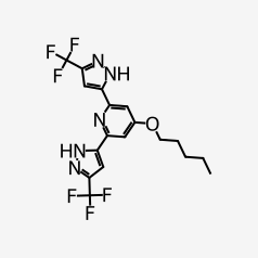 CCCCCOc1cc(-c2cc(C(F)(F)F)n[nH]2)nc(-c2cc(C(F)(F)F)n[nH]2)c1